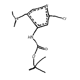 CN(C)c1cnc(Cl)cc1NC(=O)OC(C)(C)C